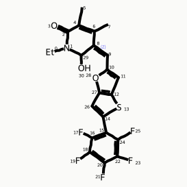 CCN1C(=O)C(C)=C(C)/C(=C/c2cc3sc(-c4c(F)c(F)c(F)c(F)c4F)cc3o2)C1O